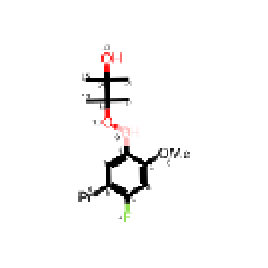 COc1cc(F)c(C(C)C)cc1BOC(C)(C)C(C)(C)O